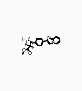 CN(c1ccc(-c2cn3ccccc3n2)cc1)C(F)(F)C(=O)OF